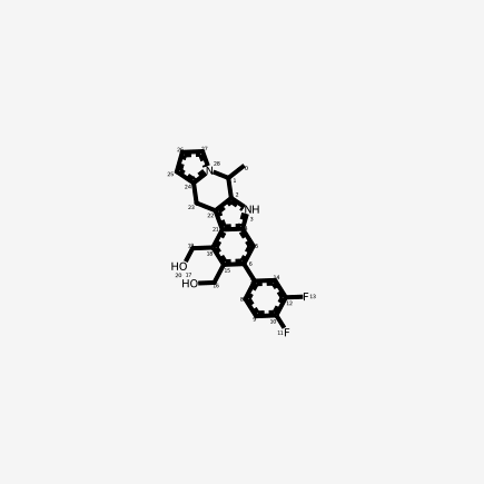 CC1c2[nH]c3cc(-c4ccc(F)c(F)c4)c(CO)c(CO)c3c2Cc2cccn21